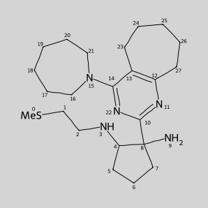 CSCCNC1CCCC1(N)c1nc2c(c(N3CCCCCC3)n1)CCCCC2